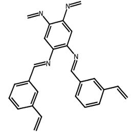 C=Cc1cccc(C=Nc2cc(N=C)c(N=C)cc2/N=C/c2cccc(C=C)c2)c1